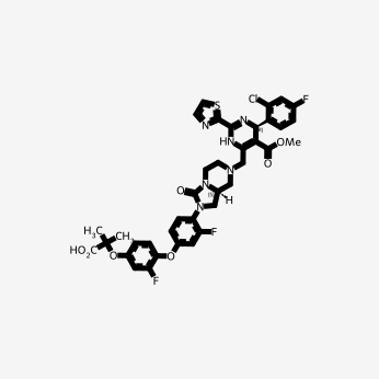 COC(=O)C1=C(CN2CCN3C(=O)N(c4ccc(Oc5ccc(OC(C)(C)C(=O)O)cc5F)cc4F)C[C@@H]3C2)NC(c2nccs2)=N[C@H]1c1ccc(F)cc1Cl